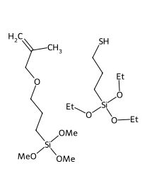 C=C(C)COCCC[Si](OC)(OC)OC.CCO[Si](CCCS)(OCC)OCC